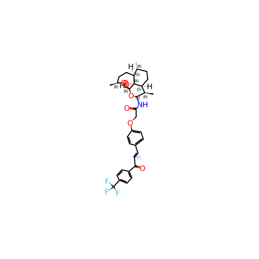 C[C@H]1[C@@H](NC(=O)COc2ccc(/C=C/C(=O)c3ccc(C(F)(F)F)cc3)cc2)O[C@@H]2O[C@@]3(C)CC[C@H]4[C@H](C)CC[C@@H]1[C@@]24OO3